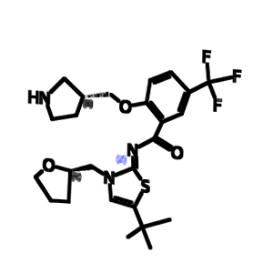 CC(C)(C)c1cn(C[C@H]2CCCO2)/c(=N/C(=O)c2cc(C(F)(F)F)ccc2OC[C@@H]2CCNC2)s1